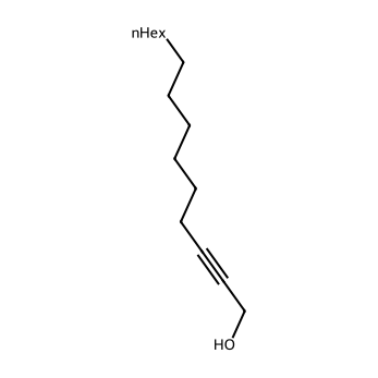 CCCCCCCCCCCCC#CCO